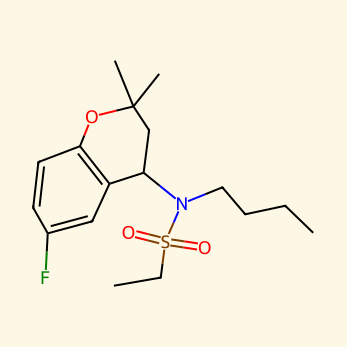 CCCCN(C1CC(C)(C)Oc2ccc(F)cc21)S(=O)(=O)CC